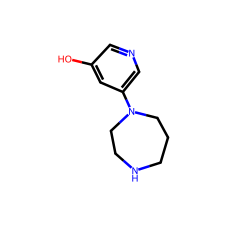 Oc1cncc(N2CCCNCC2)c1